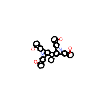 O=C1c2cc3c(cc2C2CCC1CC2)c1cc2c(c4c5cc6c(cc5n3c14)C(=O)C1CCC6CC1)-c1cc3c4cc5c(cc4n4c6cc7c(cc6c(c1C21CCCCC1)c34)C1CCC(CC1)C7=O)C(=O)C1CCC5CC1